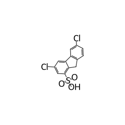 O=S(=O)(O)c1cc(Cl)cc2c1Cc1ccc(Cl)cc1-2